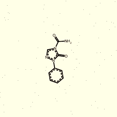 NC(=O)n1cnn(-c2ccccc2)c1=O